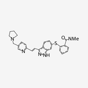 CNC(=O)c1ccccc1Sc1ccc2c(/C=C/c3ccc(CN4CCCC4)cn3)n[nH]c2c1